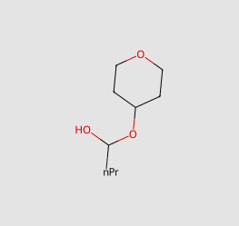 CCCC(O)OC1CCOCC1